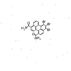 NC(=O)c1ccc2c3c(C(N)=O)ccc4c(Br)c(Br)c(Br)c(c5cccc1c25)c43